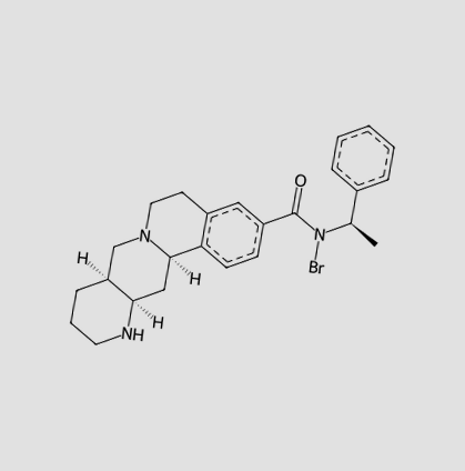 C[C@H](c1ccccc1)N(Br)C(=O)c1ccc2c(c1)CCN1C[C@@H]3CCCN[C@@H]3C[C@H]21